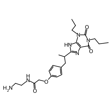 CCCn1c(=O)c2nc(C(C)Cc3ccc(OCC(=O)NCCN)cc3)[nH]c2n(CCC)c1=O